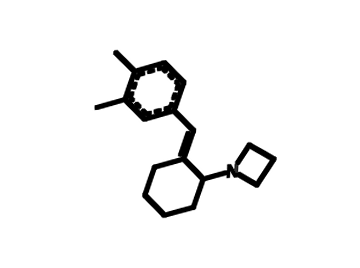 Cc1ccc(C=C2CCCCC2N2CCC2)cc1C